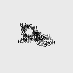 CC(=O)N[C@H]1CCC(=O)CNCCC[C@@H](C(=O)N2CCC[C@H]2C(=O)N2CCC[C@H]2C(=O)N[C@@H](Cc2cnc[nH]2)C(=O)N[C@@H](CCC(=O)O)C(=O)N[C@@H](CCCCN(CC(=O)O)CC(=O)O)C(=O)N[C@H](C(N)=O)C(C)C)NC(=O)[C@H](Cc2c[nH]c3c2CCC=C3)NC(=O)[C@H](CCCNC(=N)N)NC(=O)[C@@H](Cc2ccccc2)NC(=O)[C@H](Cc2cnc[nH]2)NC1=O